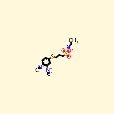 [C-]#[N+]c1ccc(SCCCS(=O)(=O)/[O+]=N/CC)cc1[N+]#[C-]